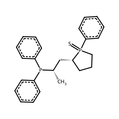 C[C@@H](C[C@H]1CCCP1(=S)c1ccccc1)P(c1ccccc1)c1ccccc1